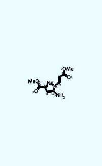 COC(=O)C=Cn1nc(C(=O)OC)cc1N